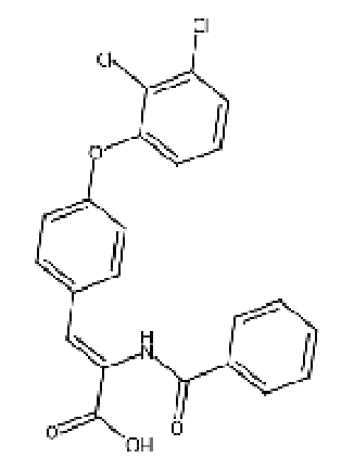 O=C(O)/C(=C/c1ccc(Oc2cccc(Cl)c2Cl)cc1)NC(=O)c1ccccc1